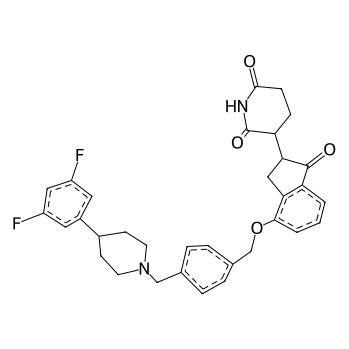 O=C1CCC(C2Cc3c(OCc4ccc(CN5CCC(c6cc(F)cc(F)c6)CC5)cc4)cccc3C2=O)C(=O)N1